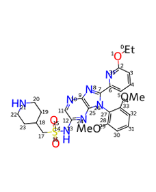 CCOc1cccc(-c2nc3ncc(NS(=O)(=O)CC4CCNCC4)nc3n2-c2c(OC)cccc2OC)n1